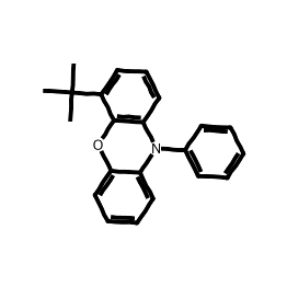 CC(C)(C)c1cccc2c1Oc1ccccc1N2c1ccccc1